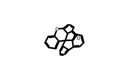 O=C1C=CC=C2Oc3ccccc3C3(c4ccccc4-c4ccccc43)C12